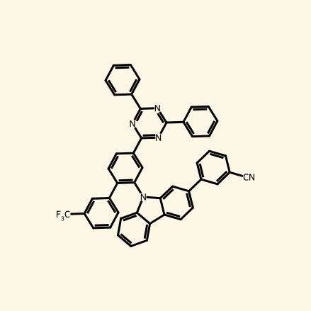 N#Cc1cccc(-c2ccc3c4ccccc4n(-c4cc(-c5nc(-c6ccccc6)nc(-c6ccccc6)n5)ccc4-c4cccc(C(F)(F)F)c4)c3c2)c1